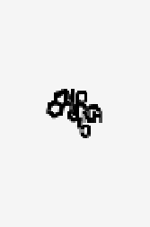 CCC(NC)C(=O)N(OCC=O)c1nccc2ccccc12